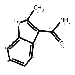 Cc1sc2ccccc2c1C(N)=O